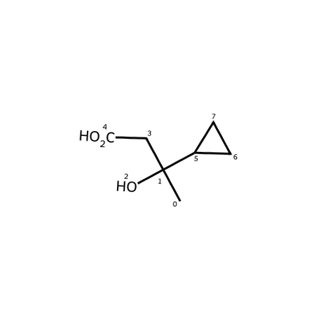 CC(O)(CC(=O)O)C1CC1